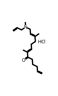 C=CCCCC(=O)C(C)=CCCC(C)=CCN(C)CC=C.Cl